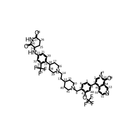 Cn1cc(-c2ccc(CN3CCC(CCN4CCC(c5ccc(NC6CCC(=O)NC6=O)cc5C(F)(F)F)CC4)CC3)c(OC(F)(F)F)c2)c2ccncc2c1=O